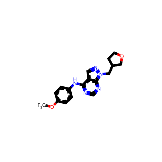 FC(F)(F)Oc1ccc(Nc2ncnc3c2cnn3CC2CCOC2)cc1